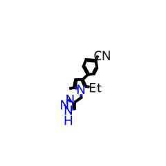 CCc1c(-c2ccc(C#N)cc2)cc(C)n1Cc1c[nH]nn1